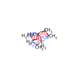 CCC(COCC(C)OCC(C)N)(COCC(C)OCC(C)N)COCC(C)OCC(C)N